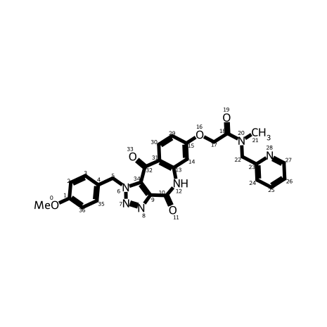 COc1ccc(Cn2nnc3c(=O)[nH]c4cc(OCC(=O)N(C)Cc5ccccn5)ccc4c(=O)c32)cc1